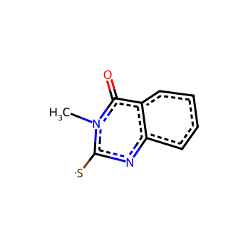 Cn1c([S])nc2ccccc2c1=O